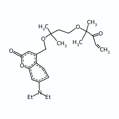 C=CC(=O)C(C)(C)OCCC(C)(C)OCc1cc(=O)oc2cc(N(CC)CC)ccc12